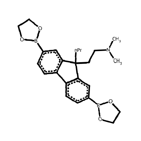 CCCC1(CCN(C)C)c2cc(B3OCCO3)ccc2-c2ccc(B3OCCO3)cc21